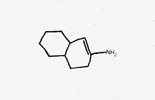 NC1=CC2CCCCC2CC1